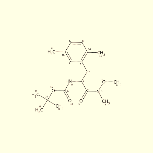 CON(C)C(=O)C(Cc1cc(C)ccc1C)NC(=O)OC(C)(C)C